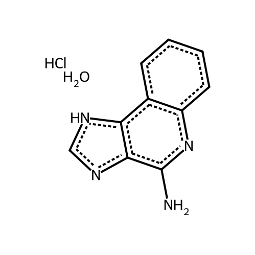 Cl.Nc1nc2ccccc2c2[nH]cnc12.O